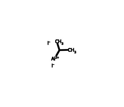 C[CH](C)[Al+2].[I-].[I-]